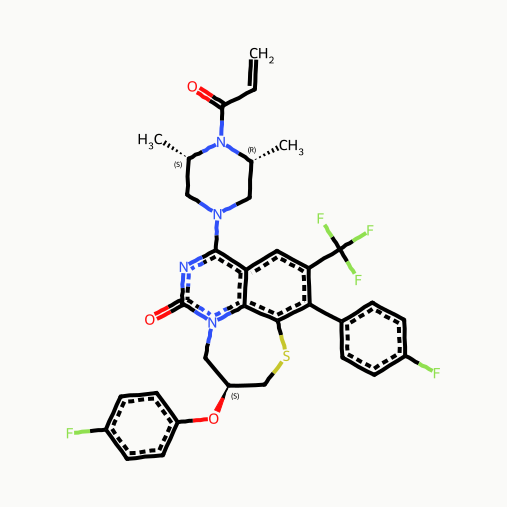 C=CC(=O)N1[C@H](C)CN(c2nc(=O)n3c4c(c(-c5ccc(F)cc5)c(C(F)(F)F)cc24)SC[C@@H](Oc2ccc(F)cc2)C3)C[C@@H]1C